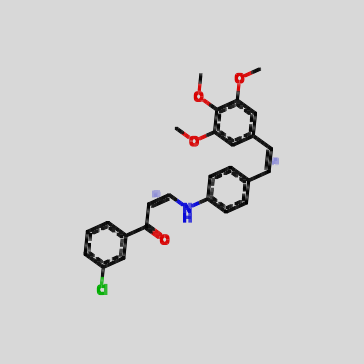 COc1cc(/C=C\c2ccc(N/C=C\C(=O)c3cccc(Cl)c3)cc2)cc(OC)c1OC